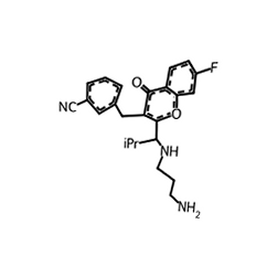 CC(C)C(NCCCN)c1oc2cc(F)ccc2c(=O)c1Cc1cccc(C#N)c1